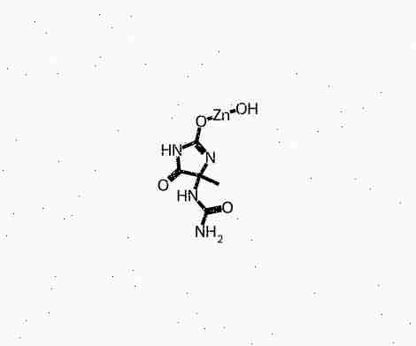 CC1(NC(N)=O)N=C([O][Zn][OH])NC1=O